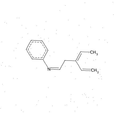 C=C/C(=C\C)C/C=N\c1ccccc1